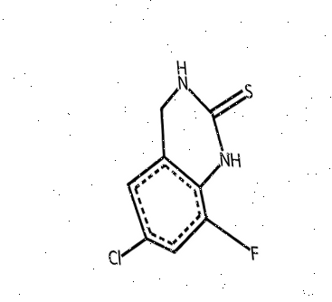 Fc1cc(Cl)cc2c1NC(=S)NC2